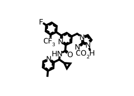 Cc1ccnc(C(NC(=O)c2cc(Cn3ccn(C)c3=NC(=O)O)cc(-c3ccc(F)cc3C(F)(F)F)n2)C2CC2)c1